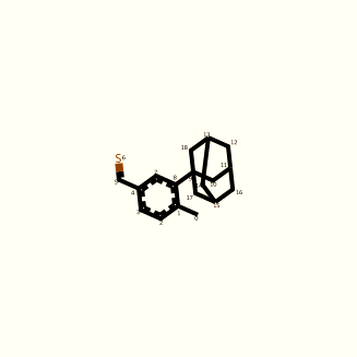 Cc1ccc(C=S)cc1C12CC3CC(CC(C3)C1)C2